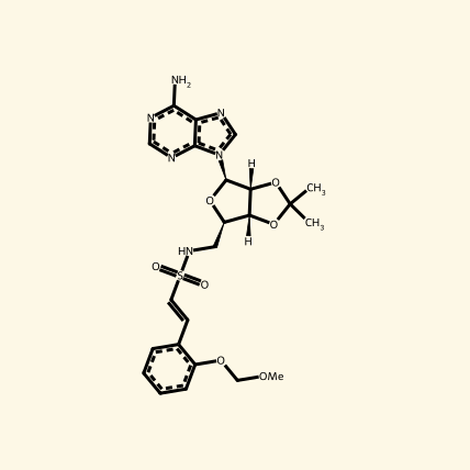 COCOc1ccccc1/C=C/S(=O)(=O)NC[C@H]1O[C@@H](n2cnc3c(N)ncnc32)[C@@H]2OC(C)(C)O[C@@H]21